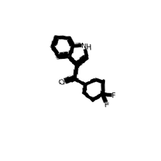 O=C(c1c[nH]c2c[c]ccc12)C1CCC(F)(F)CC1